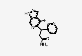 NC(=O)CC(c1cccnc1)c1ncc2[nH]ncc2c1F